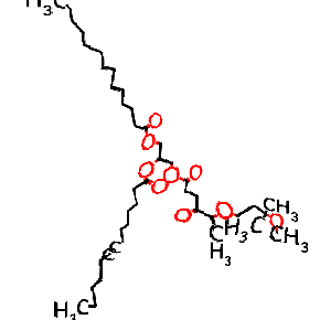 CCCCCCCCCCCCCC(=O)OCC(COC(=O)CCC(=O)C(C)OCCC(C)(C)OC)OC(=O)CCCCCCCCCCCCC